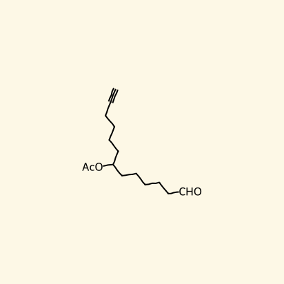 C#CCCCCC(CCCCCC=O)OC(C)=O